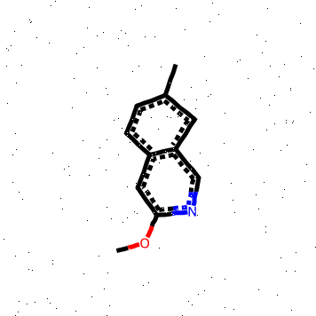 COc1cc2ccc(C)cc2cn1